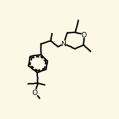 COC(C)(C)c1ccc(CC(C)CN2CC(C)OC(C)C2)cc1